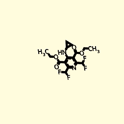 CCOC(=O)c1c(C(F)F)nc(C(F)F)c(C(=O)OCC)c1NC1CC1